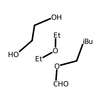 CCC(C)COC=O.CCOCC.OCCO